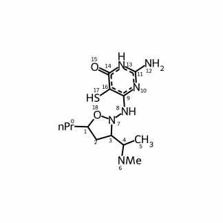 CCCC1CC(C(C)NC)N(Nc2nc(N)[nH]c(=O)c2S)O1